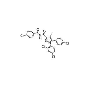 Cc1c(C(=O)NC(=O)c2ccc(Cl)cc2)nn(-c2ccc(Cl)cc2Cl)c1-c1ccc(Cl)cc1